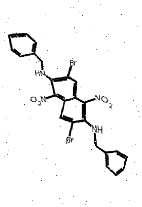 O=[N+]([O-])c1c(NCc2ccccc2)c(Br)cc2c([N+](=O)[O-])c(NCc3ccccc3)c(Br)cc12